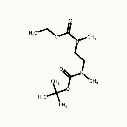 CCOC(=O)N(C)CCN(C)C(=O)OC(C)(C)C